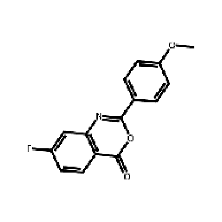 COc1ccc(-c2nc3cc(F)ccc3c(=O)o2)cc1